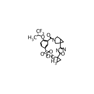 C[C@@H](Oc1ccc(S(C)(=O)=O)cc1C(=O)N1CC2CC2(c2noc(C3(C)CC3)n2)C1)C(F)(F)F